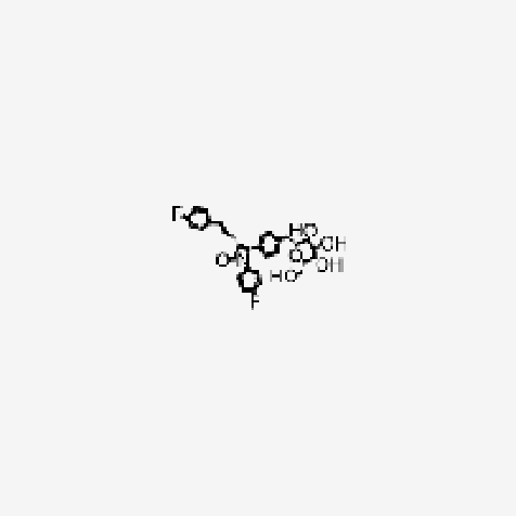 O=C1[C@H](CC=Cc2ccc(F)cc2)[C@@H](c2ccc(C[C@@H]3O[C@H](CO)[C@@H](O)[C@H](O)[C@H]3O)cc2)N1c1ccc(F)cc1